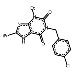 CCn1c(=O)n(Cc2ccc(Cl)cc2)c(=O)c2[nH]c(C(C)C)nc21